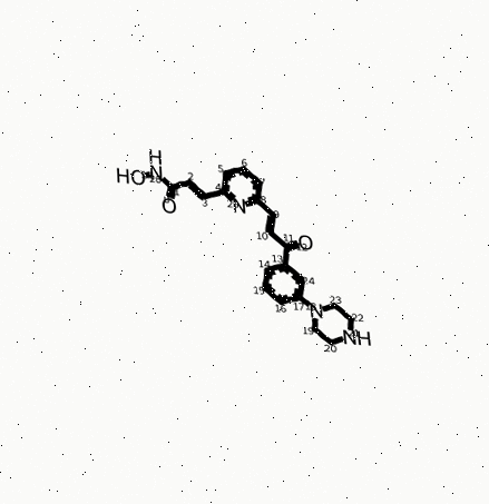 O=C(/C=C/c1cccc(/C=C/C(=O)c2cccc(N3CCNCC3)c2)n1)NO